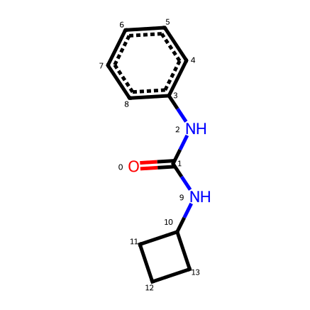 O=C(Nc1ccccc1)NC1CCC1